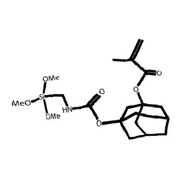 C=C(C)C(=O)OC12CC3CC(CC(OC(=O)NC[Si](OC)(OC)OC)(C3)C1)C2